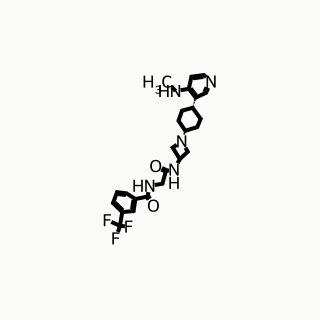 CNc1ccncc1[C@H]1CC[C@@H](N2CC(NC(=O)CNC(=O)c3cccc(C(F)(F)F)c3)C2)CC1